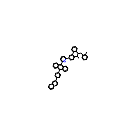 Cc1ccccc1CC1c2ccccc2-c2cc(-c3cccc(-c4c5ccccc5c(-c5ccc(-c6ccc7ccccc7c6)cc5)c5ccccc45)n3)ccc2C1C